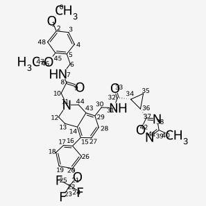 COc1ccc(CNC(=O)CN2CCc3c(-c4cccc(OC(F)(F)F)c4)ccc(CNC(=O)[C@@H]4C[C@@H]4c4nc(C)no4)c3C2)c(OC)c1